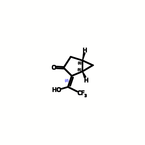 O=C1C[C@@H]2C[C@@H]2/C1=C(/O)C(F)(F)F